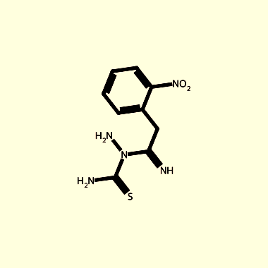 N=C(Cc1ccccc1[N+](=O)[O-])N(N)C(N)=S